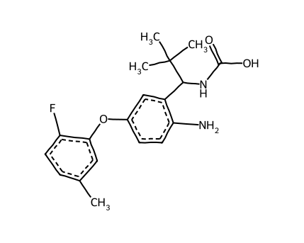 Cc1ccc(F)c(Oc2ccc(N)c(C(NC(=O)O)C(C)(C)C)c2)c1